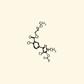 CON=CCOC(=O)c1cc(-c2nn(C)c(OC(F)F)c2Cl)ccc1Cl